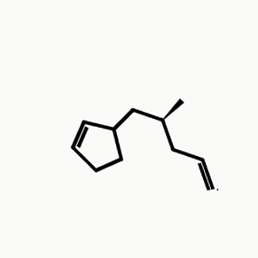 [CH]=CC[C@H](C)CC1C=CCC1